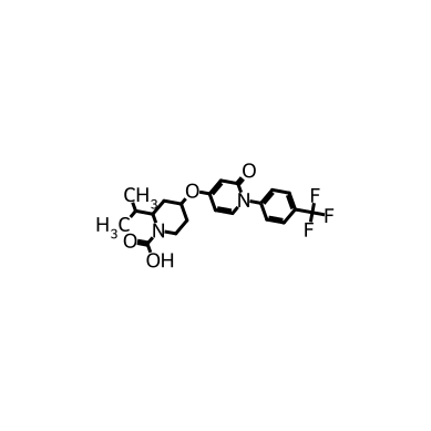 CC(C)C1CC(Oc2ccn(-c3ccc(C(F)(F)F)cc3)c(=O)c2)CCN1C(=O)O